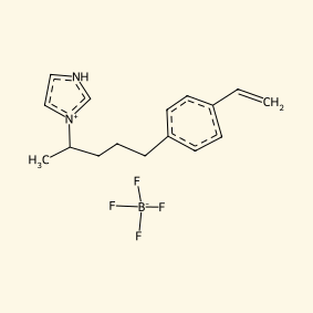 C=Cc1ccc(CCCC(C)[n+]2cc[nH]c2)cc1.F[B-](F)(F)F